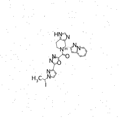 CC(I)n1ccc(-c2nnc(C(=O)N3CCc4[nH]cnc4[C@@H]3c3cc4ccccn4n3)o2)n1